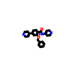 O=C(Nc1ccncc1)c1ccc(-c2ccncc2)cc1OCc1ccccc1